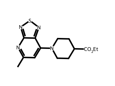 CCOC(=O)C1CCN(c2cc(C)nc3nsnc23)CC1